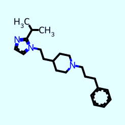 CC(C)c1nccn1CCC1CCN(CCCc2ccccc2)CC1